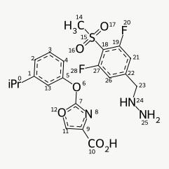 CC(C)c1cccc(Oc2nc(C(=O)O)co2)c1.CS(=O)(=O)c1c(F)cc(CNN)cc1F